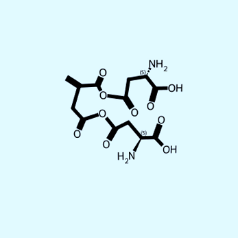 C=C(CC(=O)OC(=O)C[C@H](N)C(=O)O)C(=O)OC(=O)C[C@H](N)C(=O)O